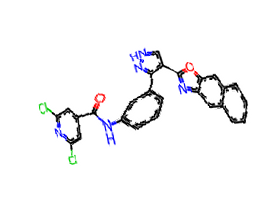 O=C(Nc1cccc(-c2n[nH]cc2-c2nc3cc4ccccc4cc3o2)c1)c1cc(Cl)nc(Cl)c1